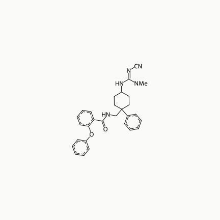 CN/C(=N\C#N)NC1CCC(CNC(=O)c2ccccc2Oc2ccccc2)(c2ccccc2)CC1